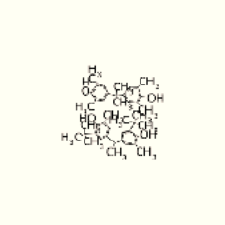 Cc1cc(C(C)(C)c2cc(C)c(O)c(C)c2)cc(C)c1O.Cc1cc(C(C)c2cc(C)c(O)c(C(C)(C)C)c2)cc(C(C)(C)C)c1O